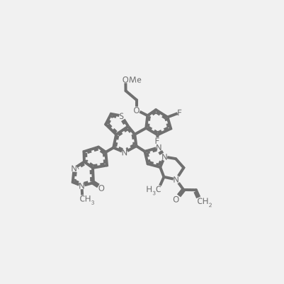 C=CC(=O)N1CCn2nc(-c3nc(-c4ccc5ncn(C)c(=O)c5c4)c4ccsc4c3-c3c(F)cc(F)cc3OCCOC)cc2C1C